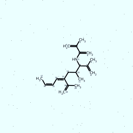 C=C(C)C(=C)NC(C(=C)C)C(C)C/C(=C/C=C\C)C(=C)C